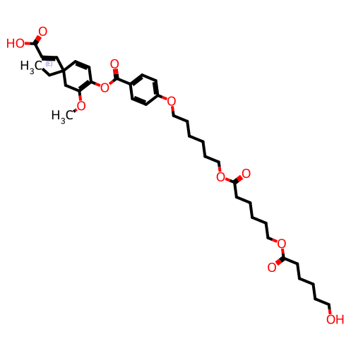 CCC1(/C=C/C(=O)O)C=CC(OC(=O)c2ccc(OCCCCCCOC(=O)CCCCCOC(=O)CCCCCO)cc2)=C(OC)C1